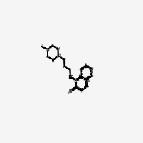 CN1CCN(CCCNn2c(=O)ccc3ccccc32)CC1